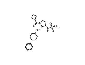 CS(=O)(=O)N[C@H]1CCN(C(=O)C2CCC2)[C@H]1CO[C@H]1CC[C@@H](c2ccccc2)CC1